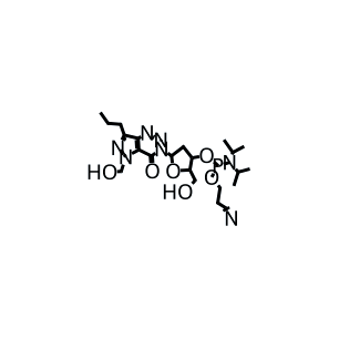 CCCc1nn(CO)c2c(=O)n(C3CC(OP(OCCC#N)N(C(C)C)C(C)C)C(CO)O3)nnc12